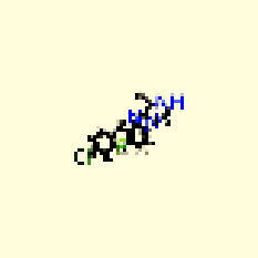 CC1NCCn2c1nc1c(Cc3ccc(Cl)cc3F)cccc12